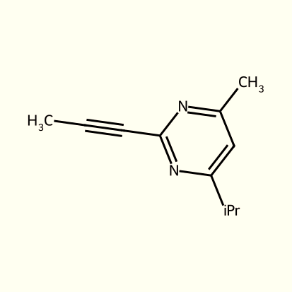 CC#Cc1nc(C)cc(C(C)C)n1